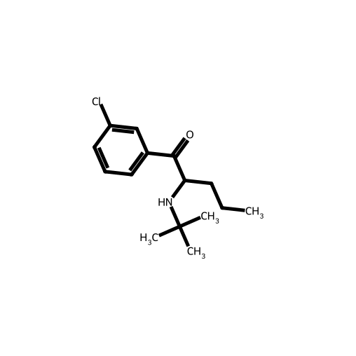 CCCC(NC(C)(C)C)C(=O)c1cccc(Cl)c1